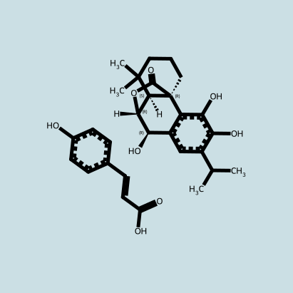 CC(C)c1cc2c(c(O)c1O)[C@@]13CCCC(C)(C)[C@@H]1[C@@H](OC3=O)[C@@H]2O.O=C(O)C=Cc1ccc(O)cc1